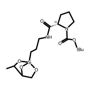 CC1O[Si]2(CCCNC(=O)[C@@H]3CCCN3C(=O)OC(C)(C)C)OCC1O2